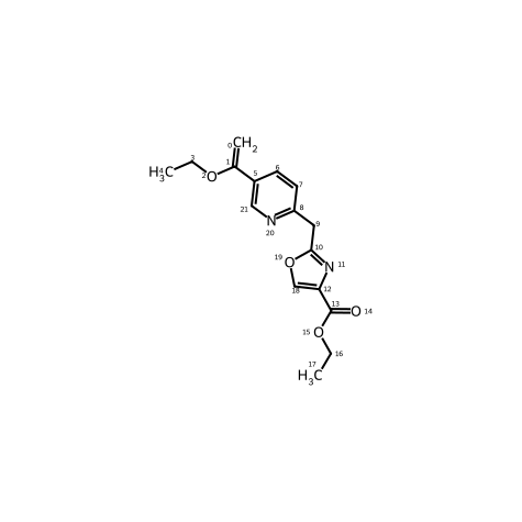 C=C(OCC)c1ccc(Cc2nc(C(=O)OCC)co2)nc1